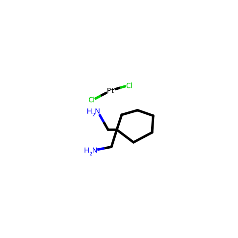 NCC1(CN)CCCCC1.[Cl][Pt][Cl]